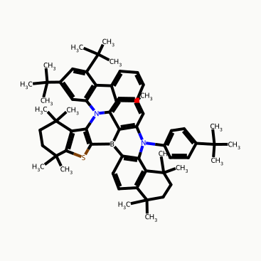 Cc1cc2c3c(c1)N(c1cc(C(C)(C)C)cc(C(C)(C)C)c1-c1ccccc1)c1c(sc4c1C(C)(C)CCC4(C)C)B3c1ccc3c(c1N2c1ccc(C(C)(C)C)cc1)C(C)(C)CCC3(C)C